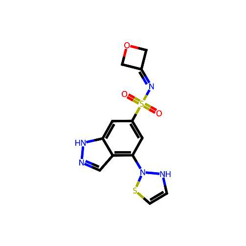 O=S(=O)(N=C1COC1)c1cc(N2NC=CS2)c2cn[nH]c2c1